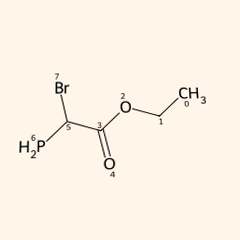 CCOC(=O)C(P)Br